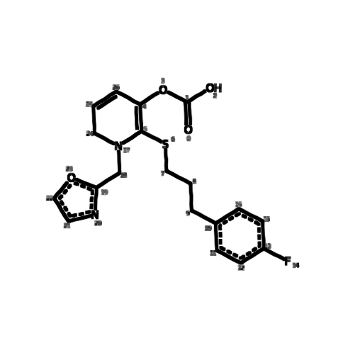 O=C(O)OC1=C(SCCCc2ccc(F)cc2)N(Cc2ncco2)CC=C1